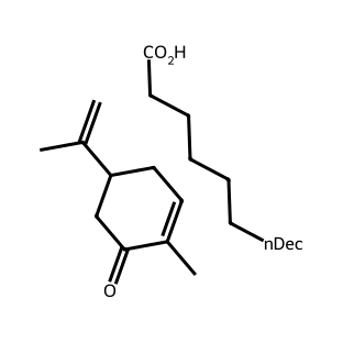 C=C(C)C1CC=C(C)C(=O)C1.CCCCCCCCCCCCCCCC(=O)O